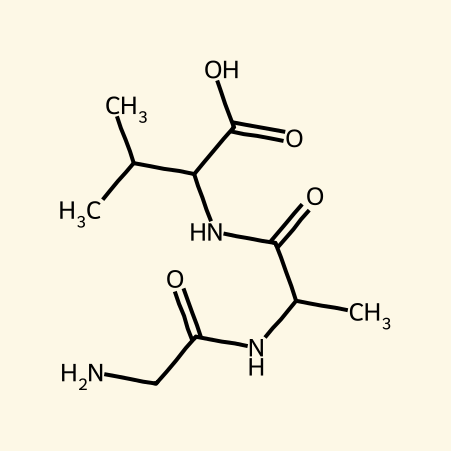 CC(NC(=O)CN)C(=O)NC(C(=O)O)C(C)C